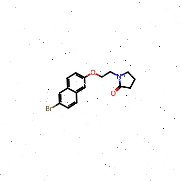 O=C1CCCN1CCOc1ccc2cc(Br)ccc2c1